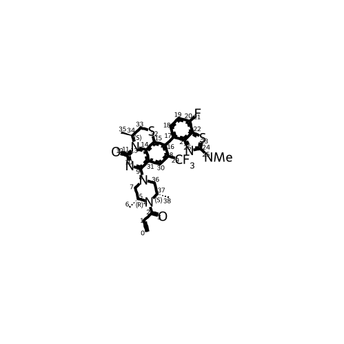 C=CC(=O)N1[C@H](C)CN(c2nc(=O)n3c4c(c(-c5ccc(F)c6sc(NC)nc56)c(C(F)(F)F)cc24)SC[C@@H]3C)C[C@@H]1C